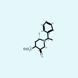 CCOC(=O)C1C[C@H](C)N(C(C)c2ccccc2)CC1=O